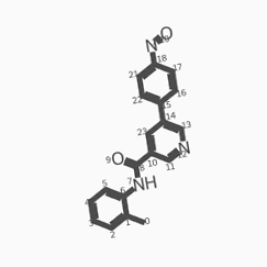 Cc1ccccc1NC(=O)c1cncc(-c2ccc(N=O)cc2)c1